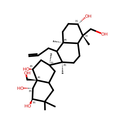 C=CCC1[C@@]2(C)CC[C@H](O)[C@](C)(CO)C2CC[C@@]1(C)[C@@]1(C)CC2CC(C)(C)[C@@H](O)[C@H](O)[C@]2(CO)[C@H](O)C1